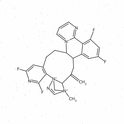 C=C1CC2c3cc(F)cc(F)c3-c3nccc[n+]3C2CCc2cc(F)nc(F)c2[N+]23C[N+](C)(C=N2)C13